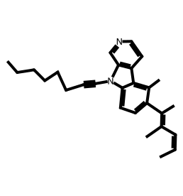 C/C=C\C(C)=C(/C)c1ccc2c(c1C)c1ccncc1n2C#CCCCCCC